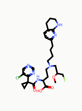 COC(CF)CN(CCCCc1ccc2c(n1)NCCC2)CCC(NC(=O)C1(c2ncncc2Cl)CC1)C(=O)O